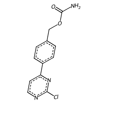 NC(=O)OCc1ccc(-c2ccnc(Cl)n2)cc1